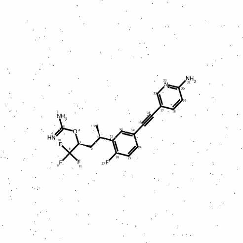 C[C@H](C[C@H](OC(=N)N)C(F)(F)F)c1cc(C#Cc2ccc(N)nc2)ccc1F